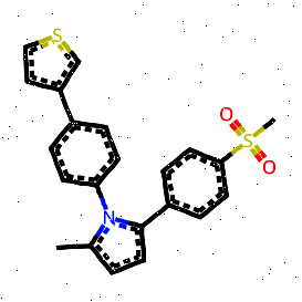 Cc1ccc(-c2ccc(S(C)(=O)=O)cc2)n1-c1ccc(-c2ccsc2)cc1